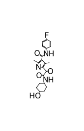 Cc1c(C(=O)Nc2ccc(F)cc2)c(C)n(C)c1C(=O)C(=O)N[C@H]1CC[C@@H](O)CC1